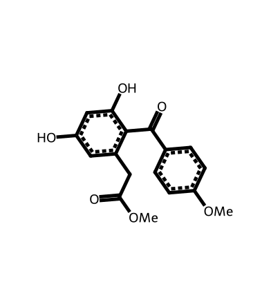 COC(=O)Cc1cc(O)cc(O)c1C(=O)c1ccc(OC)cc1